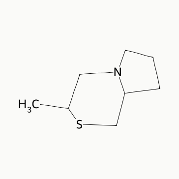 CC1CN2CCCC2CS1